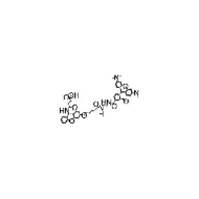 CN(C)c1ccc2c(-c3ccc(C(=O)NCCNC(=O)CCCCOc4ccc5c(c4)Oc4ccccc4C5NC(=O)CCC(=O)O)cc3C=O)c3ccc(=[N+](C)C)cc-3oc2c1